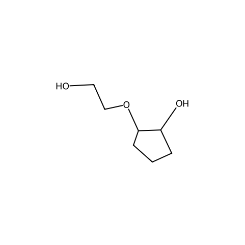 OCCOC1CCCC1O